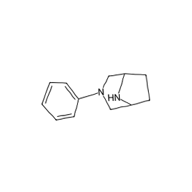 c1ccc(N2CC3CCC(C2)N3)cc1